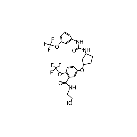 O=C(Nc1cccc(OC(F)(F)F)c1)NC1CCC(Oc2ccc(OC(F)(F)F)c(C(=O)NCCO)c2)C1